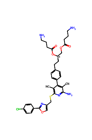 N#Cc1c(N)nc(SCc2coc(-c3ccc(Cl)cc3)n2)c(C#N)c1-c1ccc(CC[C@H](COC(=O)CCCN)OC(=O)CCCN)cc1